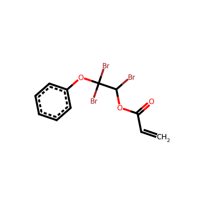 C=CC(=O)OC(Br)C(Br)(Br)Oc1ccccc1